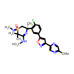 CN=S1(=O)C[C@@](C)(c2cc(-c3cc(-c4cnc(OC)cn4)no3)ccc2F)N=C(NC(=O)O)C1(C)C